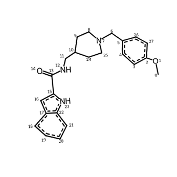 COc1ccc(CN2CCC(CNC(=O)c3cc4ccccc4[nH]3)CC2)cc1